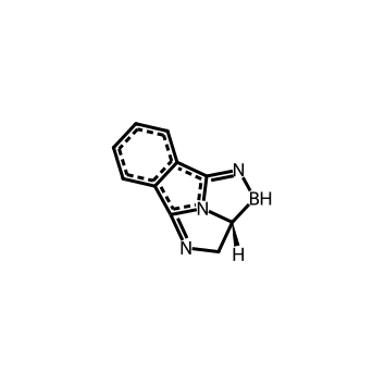 B1N=c2c3ccccc3c3n2[C@H]1CN=3